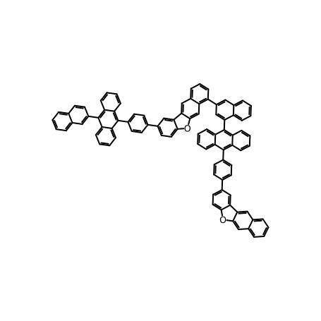 c1ccc2cc(-c3c4ccccc4c(-c4ccc(-c5ccc6oc7cc8c(-c9cc(-c%10c%11ccccc%11c(-c%11ccc(-c%12ccc%13oc%14cc%15ccccc%15cc%14c%13c%12)cc%11)c%11ccccc%10%11)c%10ccccc%10c9)cccc8cc7c6c5)cc4)c4ccccc34)ccc2c1